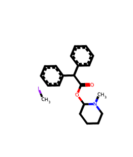 CI.CN1CCCCC1OC(=O)C(c1ccccc1)c1ccccc1